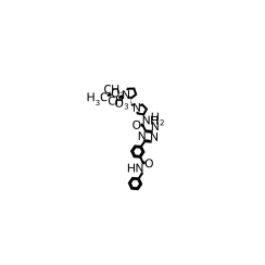 CC(C)(C)OC(=O)N1CCC[C@@H]1CN1CC[C@H](NC(=O)c2nc(-c3cccc(C(=O)NCc4ccccc4)c3)cnc2N)C1